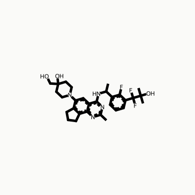 Cc1nc(NC(C)c2cccc(C(F)(F)C(C)(C)O)c2F)c2cc(N3CCC(O)(CO)CC3)c3c(c2n1)CCC3